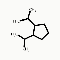 CC(C)C1CCCC1C(C)C